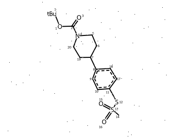 CC(C)(C)OC(=O)N1CCC(c2ccc(SS(C)(=O)=O)cc2)CC1